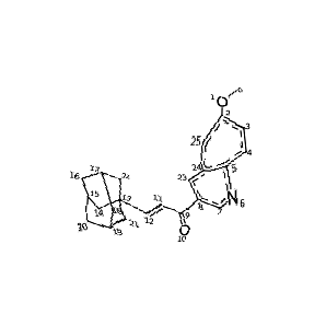 COc1ccc2ncc(C(=O)C=CC34CC5CC(CC(C5)C3)C4)cc2c1